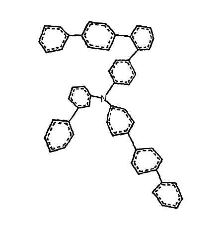 c1ccc(-c2ccc(-c3ccc(N(c4ccc(-c5ccccc5-c5ccc(-c6ccccc6)cc5)cc4)c4cccc(-c5ccccc5)c4)cc3)cc2)cc1